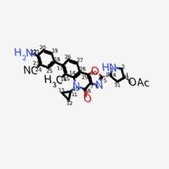 CC(=O)O[C@H]1CN[C@@H](c2nc3c(=O)n(C4CC4)c4c(C)c(-c5ccc(N)c(C#N)c5)ccc4c3o2)C1